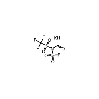 O=CN(S(=O)(=O)F)S(=O)(=O)C(F)(F)F.[KH]